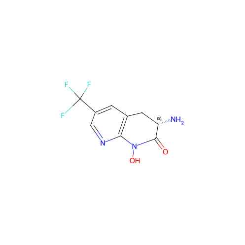 N[C@H]1Cc2cc(C(F)(F)F)cnc2N(O)C1=O